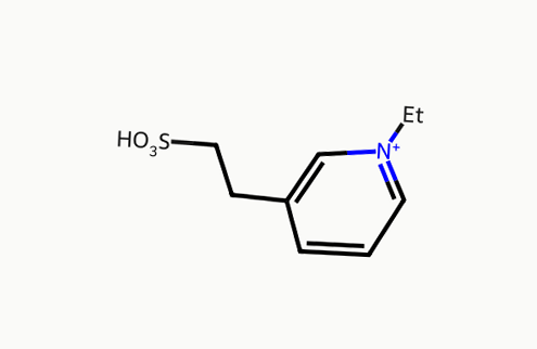 CC[n+]1cccc(CCS(=O)(=O)O)c1